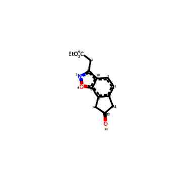 CCOC(=O)Cc1noc2c3c(ccc12)CC(=O)C3